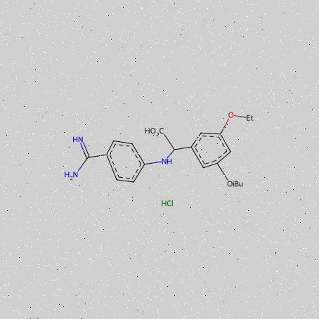 CCOc1cc(OCC(C)C)cc(C(Nc2ccc(C(=N)N)cc2)C(=O)O)c1.Cl